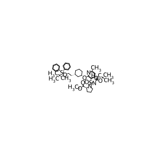 COC(=O)[C@@H]1CCCN1[S@](=O)(=NC(=O)OC(C)(C)C)c1ccc(C)nc1O[C@H]1CCC[C@@H](CCO[Si](c2ccccc2)(c2ccccc2)C(C)(C)C)C1